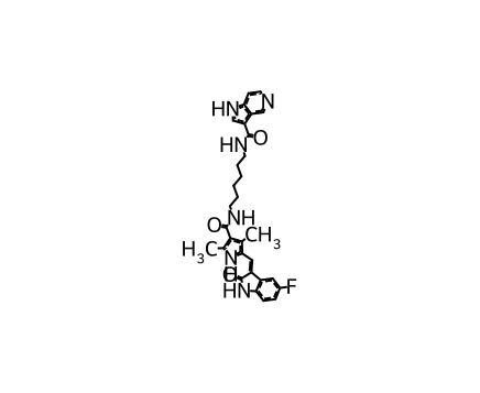 Cc1[nH]c(C=C2C(=O)Nc3ccc(F)cc32)c(C)c1C(=O)NCCCCCCNC(=O)c1c[nH]c2ccncc12